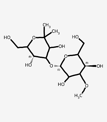 COC1C(O)[C@H](OC2C(O)C(C)(C)OC(CO)[C@H]2O)OC(CO)[C@H]1O